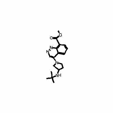 COC(=O)c1cccc2c(N3CCC(NC(C)(C)C)C3)cnnc12